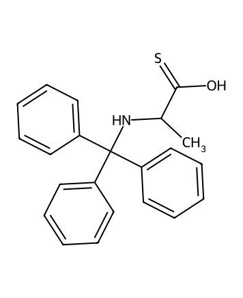 CC(NC(c1ccccc1)(c1ccccc1)c1ccccc1)C(O)=S